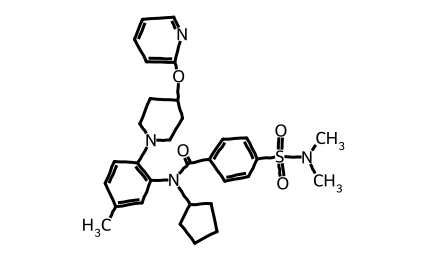 Cc1ccc(N2CCC(Oc3ccccn3)CC2)c(N(C(=O)c2ccc(S(=O)(=O)N(C)C)cc2)C2CCCC2)c1